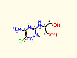 Nc1nc(NC(CO)CO)nnc1Cl